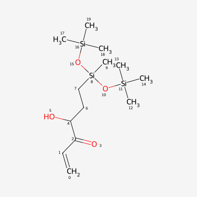 C=CC(=O)C(O)CC[Si](C)(O[Si](C)(C)C)O[Si](C)(C)C